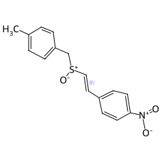 Cc1ccc(C[S+]([O-])/C=C/c2ccc([N+](=O)[O-])cc2)cc1